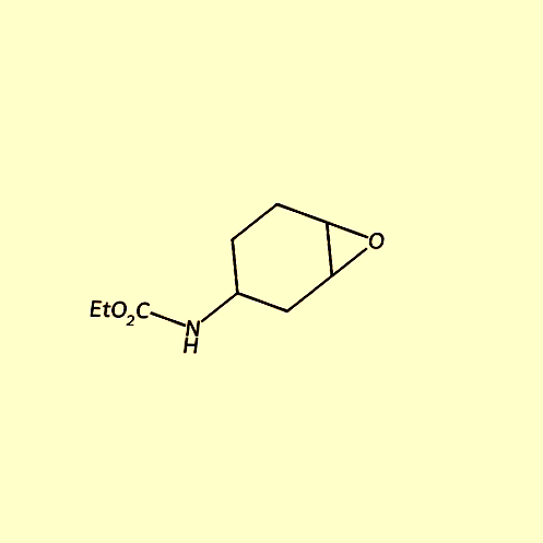 CCOC(=O)NC1CCC2OC2C1